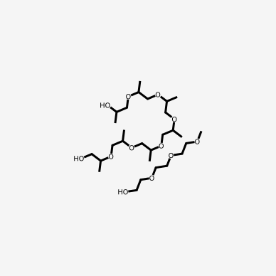 CC(O)COC(C)COC(C)COC(C)COC(C)COC(C)COC(C)CO.COCCOCCOCCO